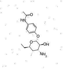 CC[C@H]1O[C@H](Oc2ccc(NC(C)=O)cc2)[C@@H](O)[C@H](N)[C@@H]1C